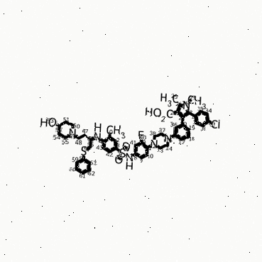 Cc1cc(S(=O)(=O)Nc2ccc(N3CCN(c4cccc(-c5c(C(=O)O)c(C)n(C)c5-c5ccc(Cl)cc5)c4)CC3)c(F)c2)ccc1N[C@H](CCN1CCC(O)CC1)CSc1ccccc1